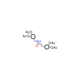 CC(=O)Oc1ccc(CCC(=O)NCc2ccc(OC(C)=O)c(OC(C)=O)c2)cc1OC(C)=O